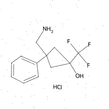 Cl.NCC1(c2ccccc2)CC(O)(C(F)(F)F)C1